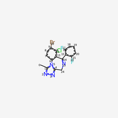 Cc1nnc2n1-c1ccc(Br)c(Cl)c1C(c1c(F)cccc1F)=NC2